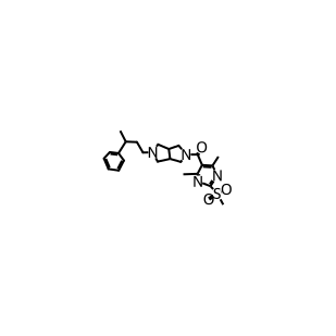 Cc1nc(S(C)(=O)=O)nc(C)c1C(=O)N1CC2CN(CCC(C)c3ccccc3)CC2C1